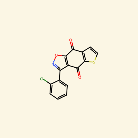 O=C1c2ccsc2C(=O)c2c(-c3ccccc3Cl)noc21